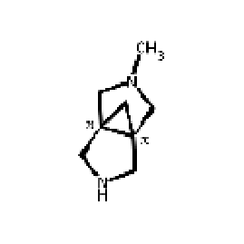 CN1C[C@@]23CNC[C@@]2(C1)C3